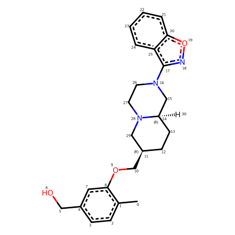 Cc1ccc(CO)cc1OC[C@@H]1CC[C@@H]2CN(c3noc4ccccc34)CCN2C1